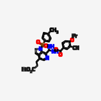 CCOC(=O)CCc1cnc(C(=N)NOC(=O)c2ccc(OC(C)C)c(C#N)c2)c2c1ccn2S(=O)(=O)c1ccc(C)cc1